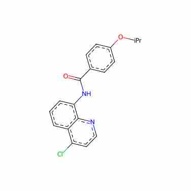 CC(C)Oc1ccc(C(=O)Nc2cccc3c(Cl)ccnc23)cc1